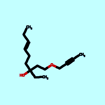 CC#CCOCCC(O)(CC)CC/C=C/CC